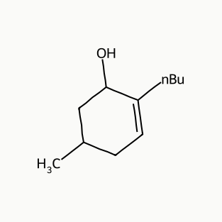 CCCCC1=CCC(C)CC1O